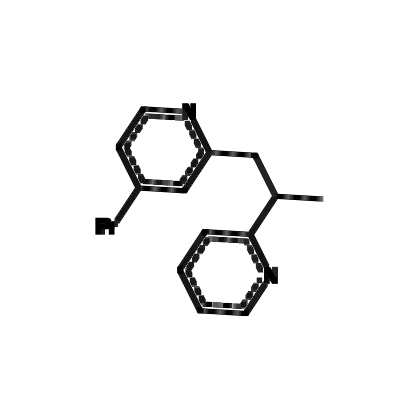 CC(C)c1ccnc(CC(C)c2ccccn2)c1